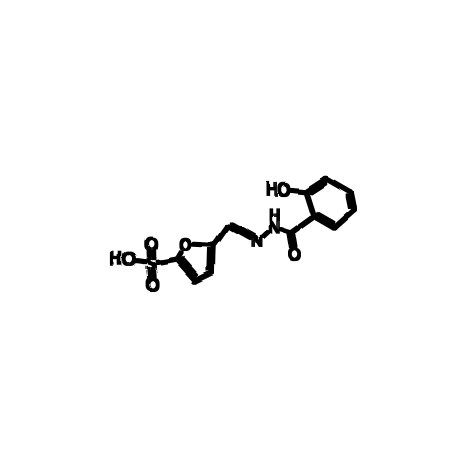 O=C(N/N=C/c1ccc(S(=O)(=O)O)o1)c1ccccc1O